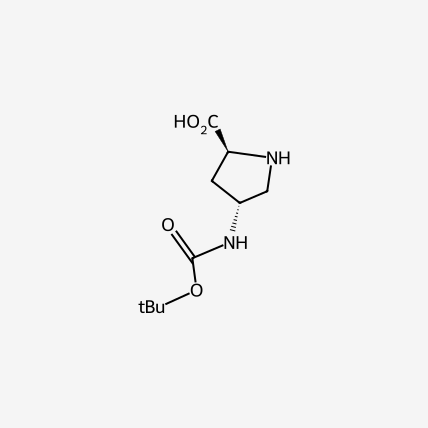 CC(C)(C)OC(=O)N[C@H]1CN[C@H](C(=O)O)C1